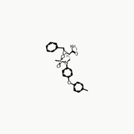 Cc1ccc(Oc2ccc(N(C[C@H](OCc3ccccc3)C(N)=O)S(C)(=O)=O)cc2)cc1